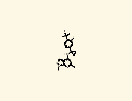 Cc1nc(NC2(c3ccc(C(F)(F)F)c(F)c3)CC2)c2cnn(C)c2n1